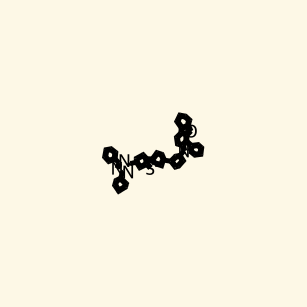 c1ccc(-c2nc(-c3ccccc3)nc(-c3ccc4c(c3)sc3cc(-c5cccc(-n6c7ccccc7c7c8oc9ccccc9c8ccc76)c5)ccc34)n2)cc1